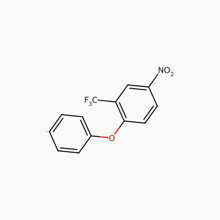 O=[N+]([O-])c1ccc(Oc2cc[c]cc2)c(C(F)(F)F)c1